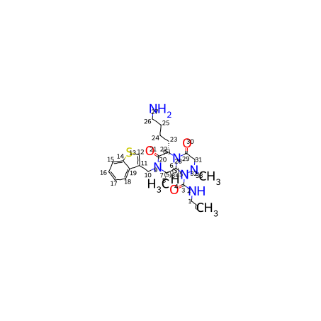 CCNC(=O)N1[C@H]2[C@H](C)N(Cc3csc4ccccc34)C(=O)[C@H](CCCCN)N2C(=O)CN1C